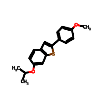 COc1ccc(-c2cc3ccc(OC(C)C)cc3s2)cc1